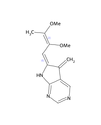 C=c1/c(=C\C(OC)=C(/C)OC)[nH]c2ncncc12